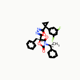 C[C@H](c1ccccc1)N1C(=O)O[C@](Cc2ccccc2)(c2nnc(C3(c4cc(F)cc(F)c4)CC3)o2)C1=O